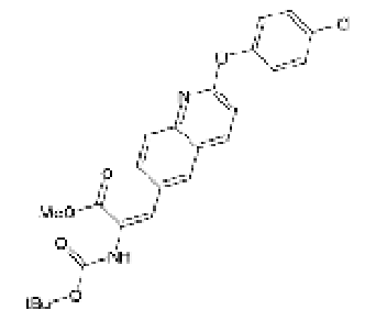 COC(=O)/C(=C\c1ccc2nc(Oc3ccc(Cl)cc3)ccc2c1)NC(=O)OC(C)(C)C